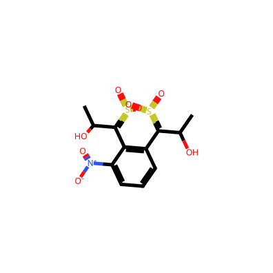 CC(O)C(c1cccc([N+](=O)[O-])c1C(C(C)O)=S(=O)=O)=S(=O)=O